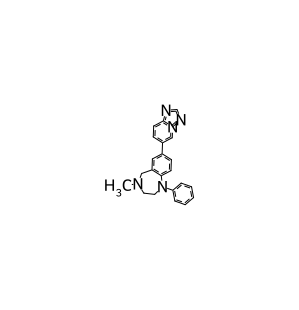 CN1CCN(c2ccccc2)c2ccc(-c3ccc4ncnn4c3)cc2C1